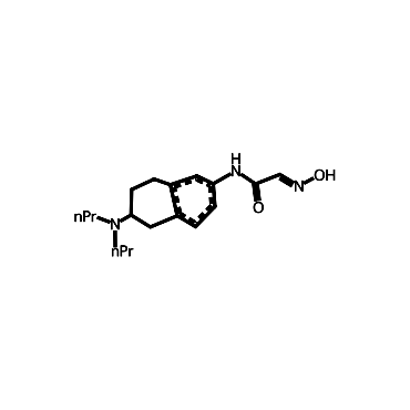 CCCN(CCC)C1CCc2cc(NC(=O)C=NO)ccc2C1